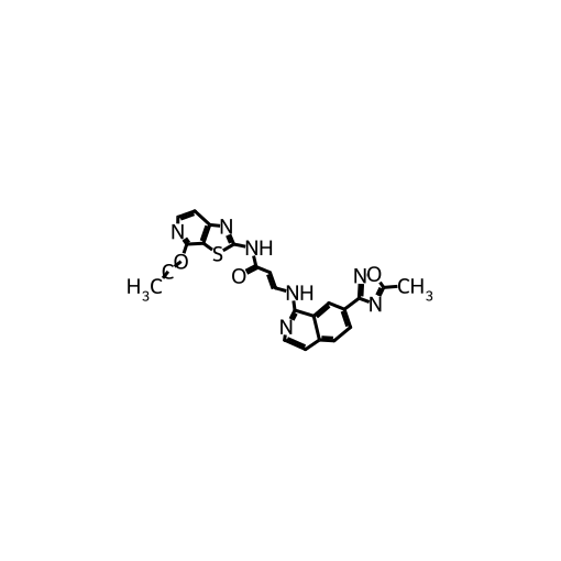 CCOc1nccc2nc(NC(=O)C=CNc3nccc4ccc(-c5noc(C)n5)cc34)sc12